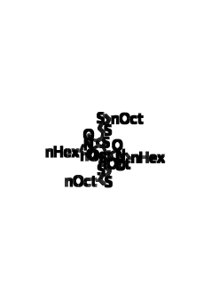 CCCCCCCCc1csc2cc(-c3sc(-c4sc(-c5cc6scc(CCCCCCCC)c6s5)c5c4C(=O)N(CC(CCCCCC)CCCCCCCC)C5=O)c4c3C(=O)N(CC(CCCCCC)CCCCCCCC)C4=O)sc12